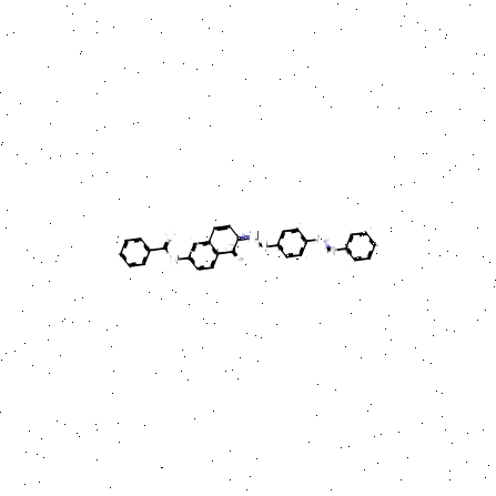 O=C(Nc1ccc2c(c1)C=C/C(=N/Nc1ccc(/N=N/c3ccccc3)cc1)C2=O)c1ccccc1